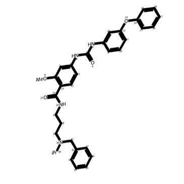 COc1cc(NC(=O)Nc2cccc(Oc3ccccc3)c2)ccc1C(=O)NCCCN(Cc1ccccc1)C(C)C